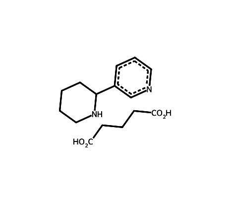 O=C(O)CCCC(=O)O.c1cncc(C2CCCCN2)c1